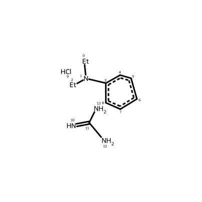 CCN(CC)c1ccccc1.Cl.N=C(N)N